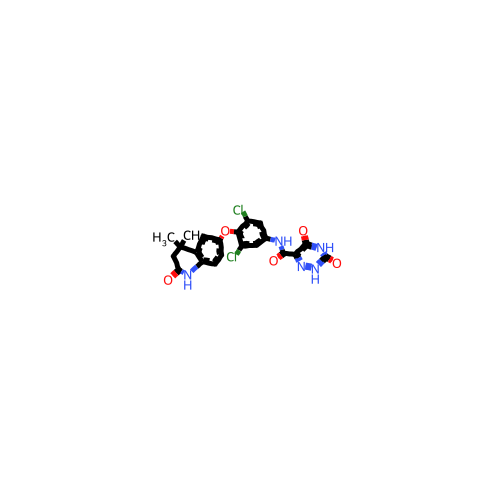 CC1(C)CC(=O)Nc2ccc(Oc3c(Cl)cc(NC(=O)c4n[nH]c(=O)[nH]c4=O)cc3Cl)cc21